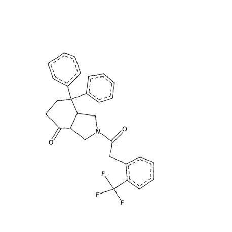 O=C1CCC(c2ccccc2)(c2ccccc2)C2CN(C(=O)Cc3ccccc3C(F)(F)F)CC12